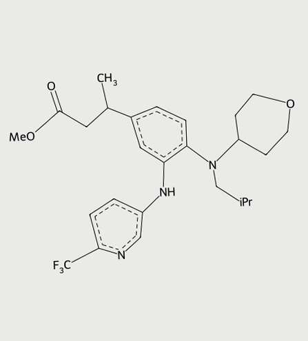 COC(=O)CC(C)c1ccc(N(CC(C)C)C2CCOCC2)c(Nc2ccc(C(F)(F)F)nc2)c1